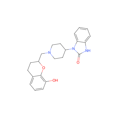 O=c1[nH]c2ccccc2n1C1CCN(CC2CCc3cccc(O)c3O2)CC1